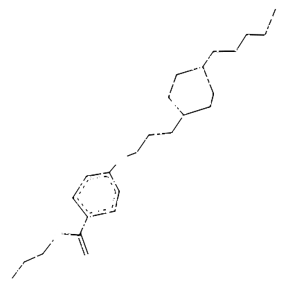 CCCCCC1CCC(CCCOc2ccc(C(=O)OCCC)cc2)CC1